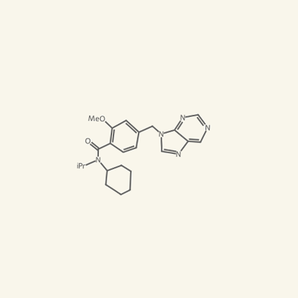 COc1cc(Cn2cnc3cncnc32)ccc1C(=O)N(C(C)C)C1CCCCC1